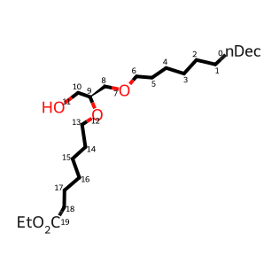 CCCCCCCCCCCCCCCCOC[C@H](CO)OCCCCCCC(=O)OCC